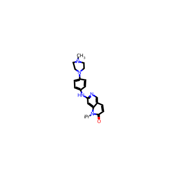 CC(C)n1c(=O)ccc2cnc(Nc3ccc(N4CCN(C)CC4)cc3)cc21